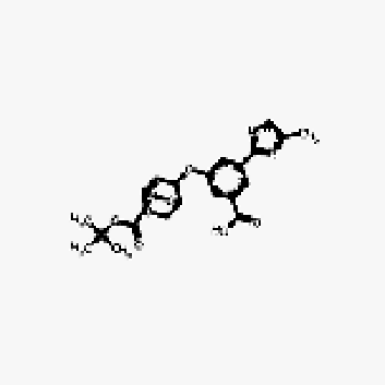 Cc1cnc(-c2cc(OC3C=C4OCC3CN4C(=O)OC(C)(C)C)cc(C(=O)O)c2)s1